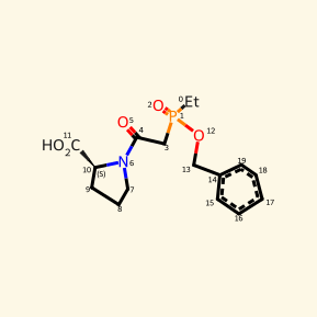 CCP(=O)(CC(=O)N1CCC[C@H]1C(=O)O)OCc1ccccc1